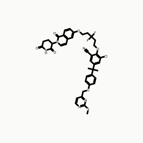 CSc1nccc(COc2ccc(C(C)(C)c3cc(Cl)c(OCCC(F)(F)CCOc4ccc5c(=O)n(C6CCC(=O)NC6=O)ccc5c4)c(C#N)c3)cc2)n1